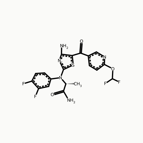 C[C@H](C(N)=O)N(c1ccc(F)c(F)c1)c1nc(N)c(C(=O)c2ccc(OC(F)F)nc2)s1